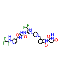 O=C1CCC(N2Cc3c(CN4CCC(n5cc(NC(=O)c6coc(-c7ccnc(NC(F)C(F)F)c7)n6)c(C(F)F)n5)CC4)cccc3C2=O)C(=O)N1